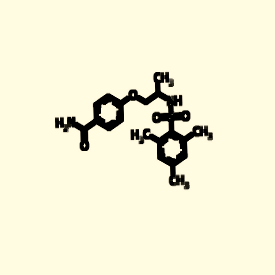 Cc1cc(C)c(S(=O)(=O)NC(C)COc2ccc(C(N)=O)cc2)c(C)c1